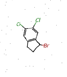 Clc1cc2c(cc1Cl)C(Br)CC2